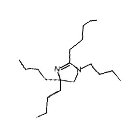 CCCCC1=NC(CCCC)(CCCC)CN1CCCC